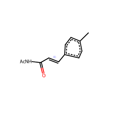 CC(=O)NC(=O)/C=C/c1ccc(C)cc1